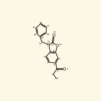 CCC(=O)c1ccc2c(c1)oc(=O)n2Cc1ccccc1